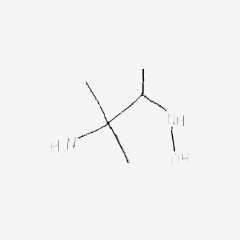 CC(NO)C(C)(C)N